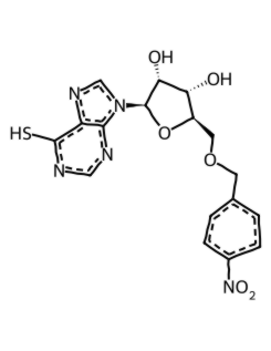 O=[N+]([O-])c1ccc(COC[C@H]2O[C@@H](n3cnc4c(S)ncnc43)[C@H](O)[C@@H]2O)cc1